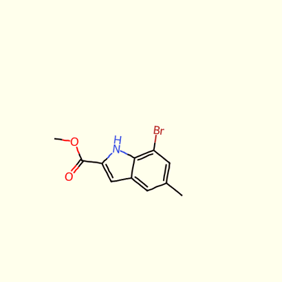 COC(=O)c1cc2cc(C)cc(Br)c2[nH]1